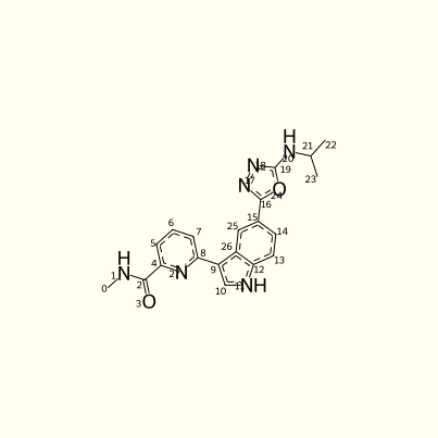 CNC(=O)c1cccc(-c2c[nH]c3ccc(-c4nnc(NC(C)C)o4)cc23)n1